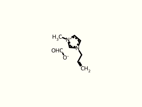 C=CCn1cc[n+](C)c1.O=C[O-]